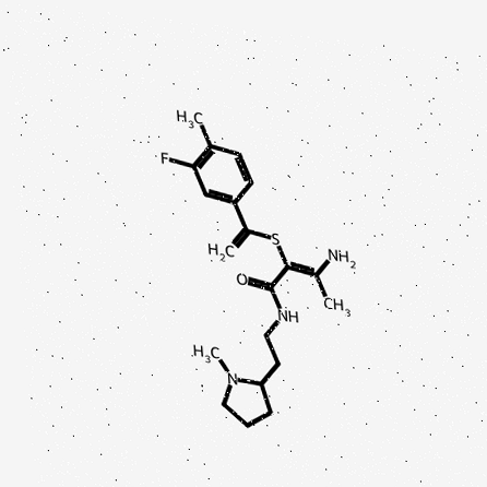 C=C(S/C(C(=O)NCCC1CCCN1C)=C(/C)N)c1ccc(C)c(F)c1